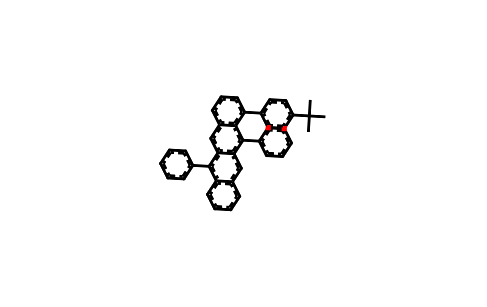 CC(C)(C)c1ccc(-c2cccc3cc4c(-c5ccccc5)c5ccccc5cc4c(-c4ccccc4)c23)cc1